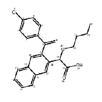 C=C(c1ccc(Cl)cc1)c1cc2ccccc2cc1C(OCCCC)C(=O)O